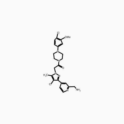 COc1cc(N2CCN(C(=O)Cn3nc(-c4ccnc(CN)c4)c(Cl)c3C)CC2)ccc1Cl